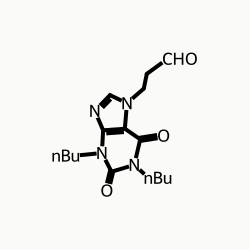 CCCCn1c(=O)c2c(ncn2CCC=O)n(CCCC)c1=O